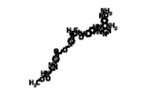 CCOCC(=O)NCc1cnc(N2CCN(C(=O)CCOCCN3CCN(C(=O)CN(C)CC(=O)N4CCc5cc(CNc6ncnc(N)c6C(=N)c6ccc7oc(N)nc7c6)ccc5C4)CC3)CC2)nc1